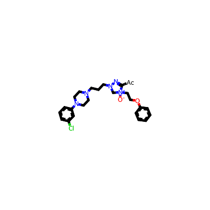 CC(=O)C1=NN(CCCN2CCN(c3cccc(Cl)c3)CC2)C[N+]1([O-])CCOc1ccccc1